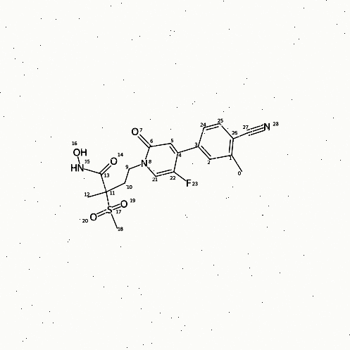 Cc1cc(-c2cc(=O)n(CCC(C)(C(=O)NO)S(C)(=O)=O)cc2F)ccc1C#N